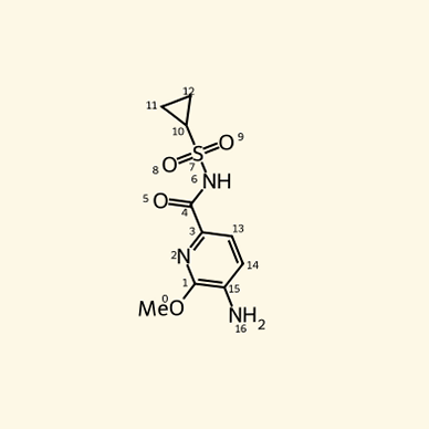 COc1nc(C(=O)NS(=O)(=O)C2CC2)ccc1N